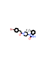 O=C(Cc1ccc(Br)cc1)N1CCC(n2c(=O)[nH]c3cccc(C(F)(F)F)c32)CC1